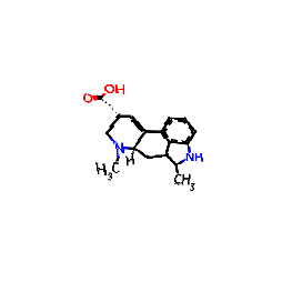 CC1Nc2cccc3c2C1C[C@@H]1C3=C[C@@H](C(=O)O)CN1C